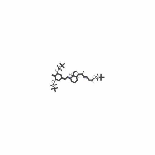 C=C1[C@H](O[Si](C)(C)C(C)(C)C)CC(=C/C=C2\CCC[C@]3(C)[C@@H]([C@@H](C)/C=C/C[C@@H](C)O[Si](C)(C)C(C)(C)C)CC[C@@H]23)C[C@H]1O[Si](C)(C)C(C)(C)C